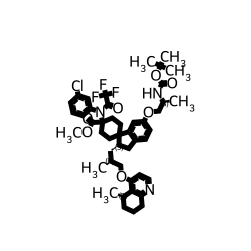 COC(=O)C1(N(C(=O)C(F)(F)F)c2cccc(Cl)c2)CCC2(CC1)c1cc(OC[C@H](C)NC(=O)OC(C)(C)C)ccc1C[C@@H]2C[C@@H](C)COc1ccnc2c1[C@H](C)CCC2